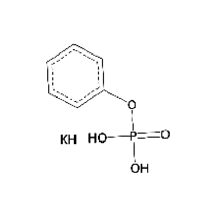 O=P(O)(O)Oc1ccccc1.[KH]